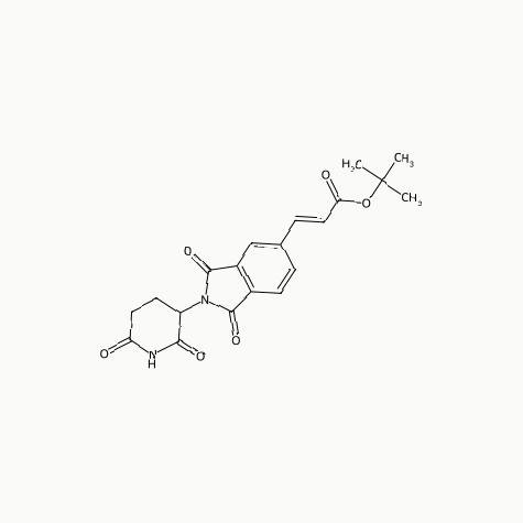 CC(C)(C)OC(=O)C=Cc1ccc2c(c1)C(=O)N(C1CCC(=O)NC1=O)C2=O